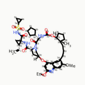 C=C[C@@H]1C[C@]1(NC(=O)[C@@H]1C[C@@H]2CN1C(=O)[C@H](C1CCCC1)NC(=O)O[C@H]1CCC[C@]1(C)CCCc1cc3c(cc(OCC)nc3cc1OC)O2)C(=O)NS(=O)(=O)C1CC1